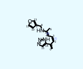 C=C(/C=C\C=C(/C)NCc1ccoc1)c1cnn[nH]1